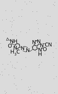 Cc1nc(C(=O)NC2CC2)ccc1N1CCN(Cc2cc3c4c(ncnc4c2)N(CC#N)C(=O)N3)CC1